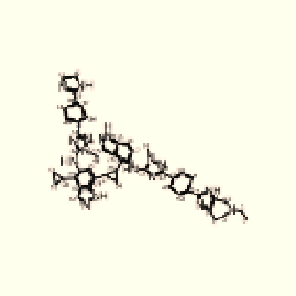 CCN1CCc2nc(-c3ccc(-c4nc(Nc5ccc6[nH]ncc6c5C5CC5c5cc(Nc6nc(-c7ccc(-c8ncc[nH]8)cc7)nn6C)c(C6CC6)c6cn[nH]c56)n(C)n4)cc3)[nH]c2C1